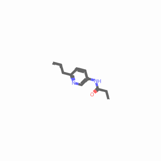 CCCc1ccc(NC(=O)CC)cn1